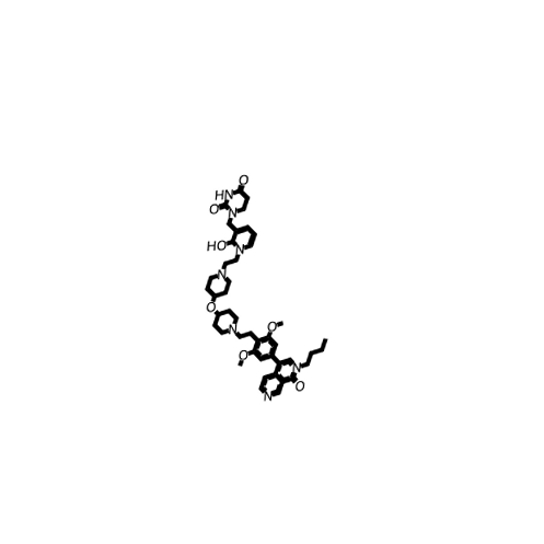 CCCCn1cc(-c2cc(OC)c(CCN3CCC(OC4CCN(CCN5C=CC=C(CN6CCC(=O)NC6=O)C5O)CC4)CC3)c(OC)c2)c2ccncc2c1=O